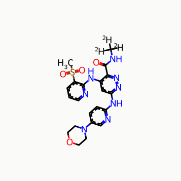 [2H]C([2H])([2H])NC(=O)c1nnc(Nc2ccc(N3CCOCC3)cn2)cc1Nc1ncccc1S(C)(=O)=O